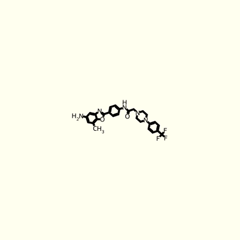 Cc1cc(N)cc2nc(-c3ccc(NC(=O)CN4CCN(c5ccc(C(F)(F)F)cc5)CC4)cc3)oc12